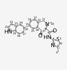 Cc1csc(NC(=O)CN(C)Cc2ccc(-c3ccc4[nH]ccc4c3)cc2C=O)n1